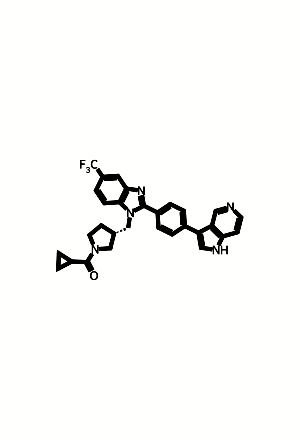 O=C(C1CC1)N1CC[C@H](Cn2c(-c3ccc(-c4c[nH]c5ccncc45)cc3)nc3cc(C(F)(F)F)ccc32)C1